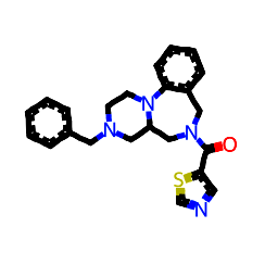 O=C(c1cncs1)N1Cc2ccccc2N2CCN(Cc3ccccc3)CC2C1